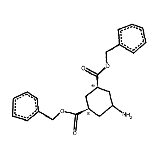 NC1C[C@@H](C(=O)OCc2ccccc2)C[C@@H](C(=O)OCc2ccccc2)C1